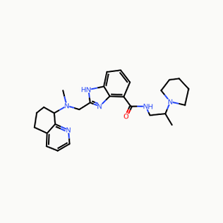 CC(CNC(=O)c1cccc2[nH]c(CN(C)C3CCCc4cccnc43)nc12)N1CCCCC1